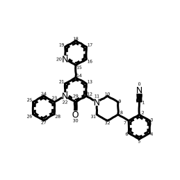 N#Cc1ccccc1C1CCN(c2cc(-c3ccccn3)cn(-c3ccccc3)c2=O)CC1